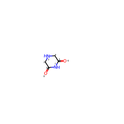 O=C1[CH]NCC(=O)N1